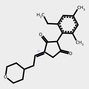 CCc1cc(C)cc(C)c1C1C(=O)C/C(=C\CC2CCOCC2)C1=O